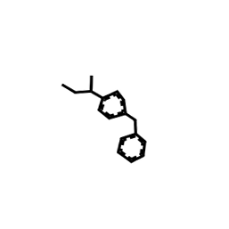 CCC(C)c1ccc(Cc2ccccc2)cc1